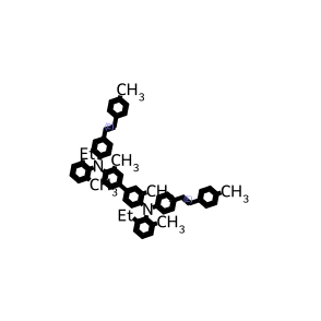 CCc1cccc(C)c1N(c1ccc(/C=C/c2ccc(C)cc2)cc1)c1ccc(-c2ccc(N(c3ccc(/C=C/c4ccc(C)cc4)cc3)c3c(C)cccc3CC)c(C)c2)cc1C